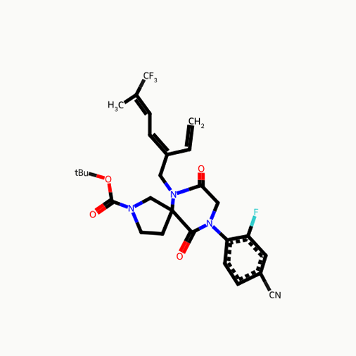 C=C/C(=C\C=C(/C)C(F)(F)F)CN1C(=O)CN(c2ccc(C#N)cc2F)C(=O)C12CCN(C(=O)OC(C)(C)C)C2